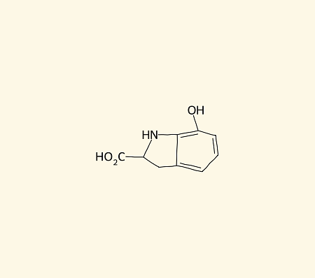 O=C(O)C1Cc2cccc(O)c2N1